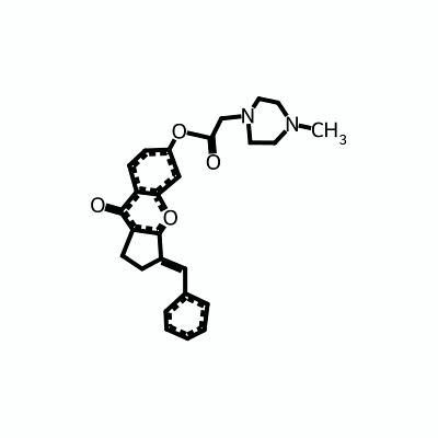 CN1CCN(CC(=O)Oc2ccc3c(=O)c4c(oc3c2)C(=Cc2ccccc2)CC4)CC1